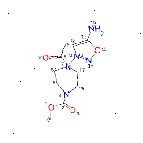 COC(=O)N1CC[N+](C(C)=O)([n+]2cc(N)on2)CC1